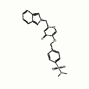 CN(C)S(=O)(=O)c1ccc(COc2coc(Cn3cc4ccccc4c3)cc2=O)cc1